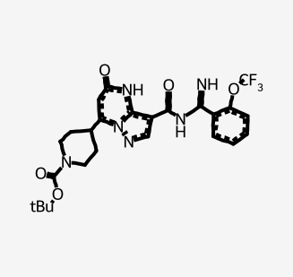 CC(C)(C)OC(=O)N1CCC(c2cc(=O)[nH]c3c(C(=O)NC(=N)c4ccccc4OC(F)(F)F)cnn23)CC1